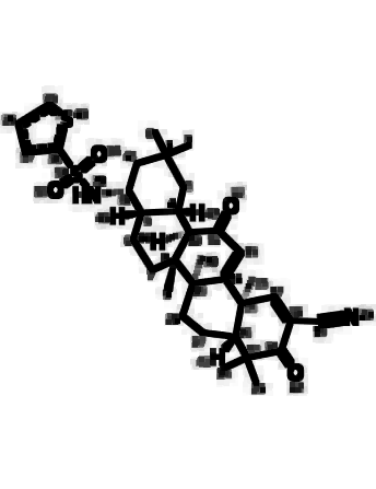 CC1(C)C[C@H]2[C@H](CC[C@]3(C)[C@@H]2C(=O)C=C2[C@@]4(C)C=C(C#N)C(=O)C(C)(C)[C@@H]4CC[C@]23C)[C@H](NS(=O)(=O)c2cccs2)C1